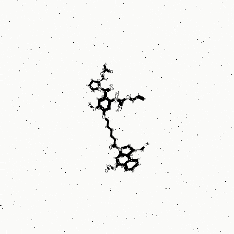 C=CCOC(=O)Nc1cc(OCCCCCC(=O)N2C[C@@H](CCl)c3c2cc(OP=O)c2ccccc32)c(OC)cc1C(=O)N1CCC[C@H]1COC(C)=O